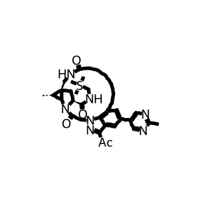 CC(=O)c1nn2c3c(cc(-c4cnc(C)nc4)cc13)CCCCCCC(=O)NC[C@@]13C[C@@H](C(=O)NCS(C)(C)C)N(C(=O)C2)C1[C@@H]3C